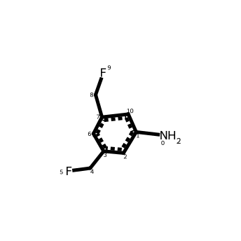 Nc1cc(CF)[c]c(CF)c1